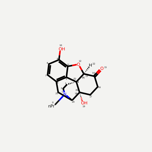 CCCN1CC[C@]23c4c5ccc(O)c4O[C@H]2C(=O)CC[C@@]3(O)C1C5